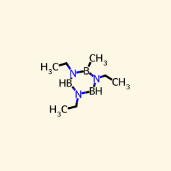 CCN1BN(CC)B(C)N(CC)B1